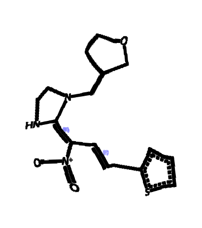 O=[N+]([O-])C(/C=C/c1cccs1)=C1\NCCN1CC1CCOC1